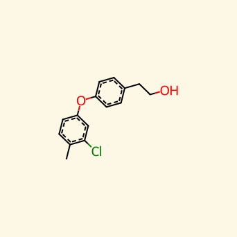 Cc1ccc(Oc2ccc(CCO)cc2)cc1Cl